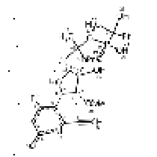 C#Cc1[nH]c(=O)cc(F)c1[C@@H]1O[C@H](CC(C)(CCC)OP(=O)(O)C(C)(O)CC)C(O)[C@@H]1OC